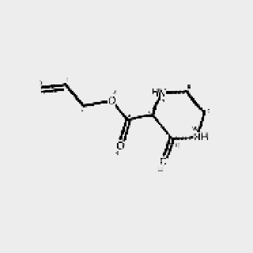 C=CCOC(=O)C1NCCNC1=O